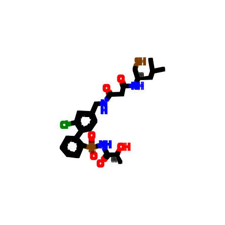 CC(C)C[C@H](CS)NC(=O)CC(=O)NCc1ccc(-c2ccccc2S(=O)(=O)NC(=O)[C@H](C)O)c(Cl)c1